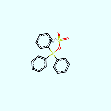 O=S(=O)(OS(c1ccccc1)(c1ccccc1)c1ccccc1)C(Cl)(Cl)Cl